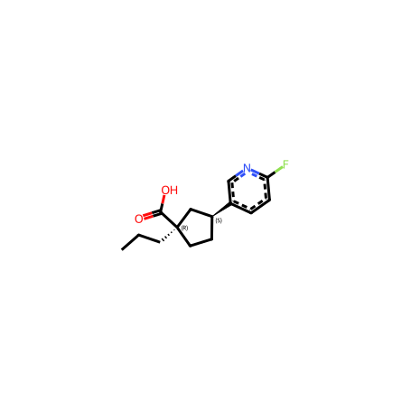 CCC[C@@]1(C(=O)O)CC[C@H](c2ccc(F)nc2)C1